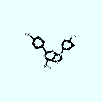 N#Cc1ccc(-n2cnc3c(N)nc(-c4ccc(C(F)(F)F)cc4)nc32)cc1